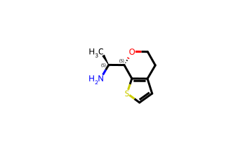 C[C@H](N)[C@@H]1OCCc2ccsc21